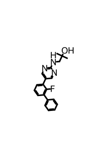 CC(C)(O)CNc1ncc(-c2cccc(-c3ccccc3)c2F)cn1